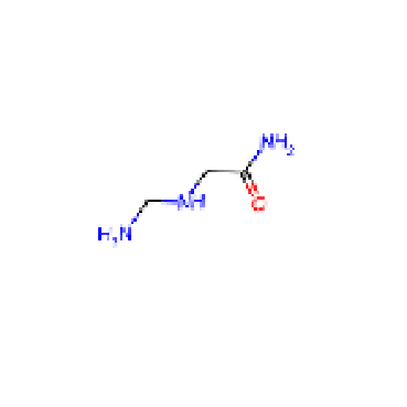 NCNCC(N)=O